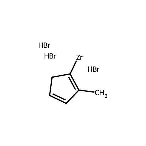 Br.Br.Br.CC1=[C]([Zr])CC=C1